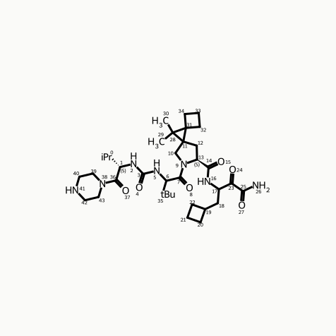 CC(C)[C@H](NC(=O)NC(C(=O)N1CC2(C[C@H]1C(=O)NC(CC1CCC1)C(=O)C(N)=O)C(C)(C)C21CCC1)C(C)(C)C)C(=O)N1CCNCC1